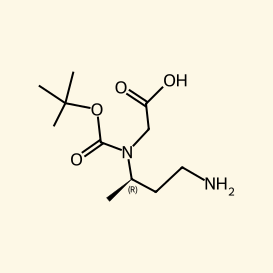 C[C@H](CCN)N(CC(=O)O)C(=O)OC(C)(C)C